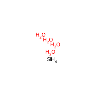 O.O.O.O.[SiH4]